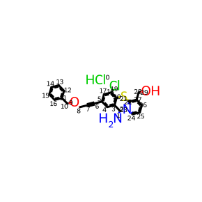 Cl.NCc1cc(C#CCOCc2ccccc2)cc(Cl)c1Sc1ncccc1CO